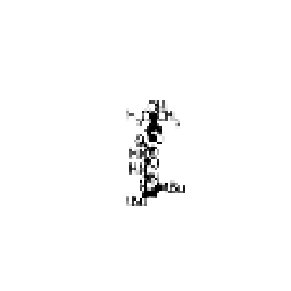 CC(C)(C)c1cc(C(C)(C)C)nc(NC(=O)NS(=O)(=O)c2cc(C(C)(C)O)co2)n1